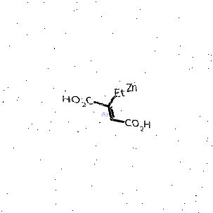 CC/C(=C\C(=O)O)C(=O)O.[Zn]